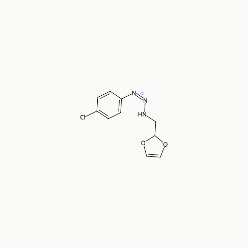 Clc1ccc(/N=N\NCC2OC=CO2)cc1